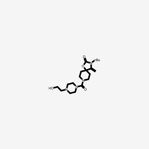 C=C1N(CCCC)C(=O)OC12CCN(C(=O)N1CCN(CCO)CC1)CC2